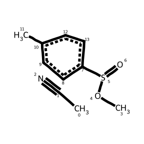 CC#N.COS(=O)c1ccc(C)cc1